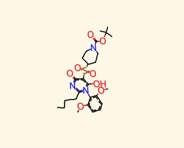 CCCCc1nc(=O)c(S(=O)(=O)C2CCN(C(=O)OC(C)(C)C)CC2)c(O)n1-c1c(OC)cccc1OC